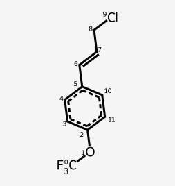 FC(F)(F)Oc1ccc(C=CCCl)cc1